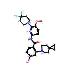 COc1ccc(NC(=O)c2ccc(I)cc2N2CCC3(CC2)CC3)nc1N1CCC(F)(F)CC1